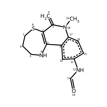 C=C1C2=C(NCCCS2)c2cc(NC=O)ccc2N1C